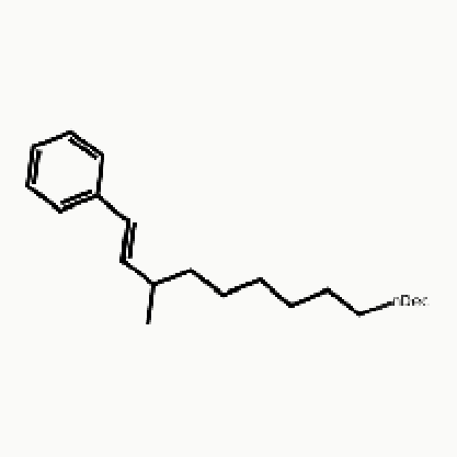 CCCCCCCCCCCCCCCCC(C)C=Cc1ccccc1